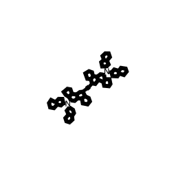 C(#Cc1cc2c3ccccc3c(N(c3ccc4ccccc4c3)c3ccc4ccccc4c3)cc2c2ccccc12)c1cc2c3ccccc3c(N(c3ccc4ccccc4c3)c3ccc4ccccc4c3)cc2c2ccccc12